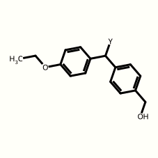 CCOc1ccc([CH]([Y])c2ccc(CO)cc2)cc1